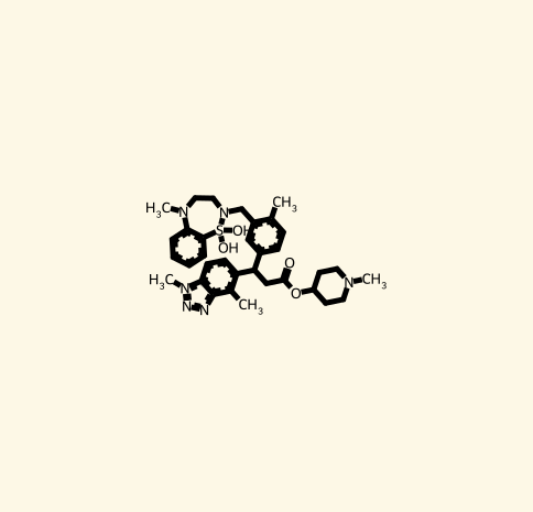 Cc1ccc(C(CC(=O)OC2CCN(C)CC2)c2ccc3c(nnn3C)c2C)cc1CN1CCN(C)c2ccccc2S1(O)O